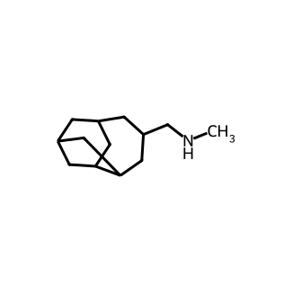 CNCC1CC2CC3CC(C1)C(C2)C3